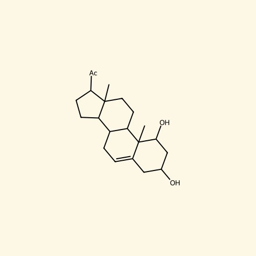 CC(=O)C1CCC2C3CC=C4CC(O)CC(O)C4(C)C3CCC12C